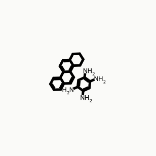 Nc1cc(N)c(N)cc1N.c1ccc2c(c1)ccc1c3c(ccc12)CCCC3